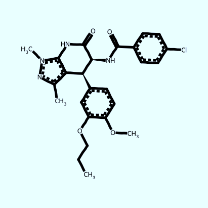 CCCOc1cc([C@H]2c3c(C)nn(C)c3NC(=O)[C@H]2NC(=O)c2ccc(Cl)cc2)ccc1OC